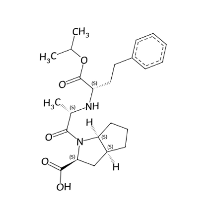 CC(C)OC(=O)[C@H](CCc1ccccc1)N[C@@H](C)C(=O)N1[C@H](C(=O)O)C[C@@H]2CCC[C@@H]21